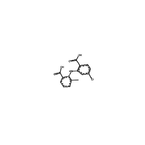 Cc1cccc(C(=O)O)c1Nc1cc(Cl)ccc1C(=O)O